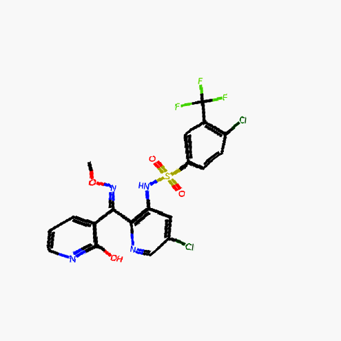 CO/N=C(\c1cccnc1O)c1ncc(Cl)cc1NS(=O)(=O)c1ccc(Cl)c(C(F)(F)F)c1